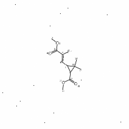 COC(=O)C(F)=CC1C(C(=O)OC)C1(C)C